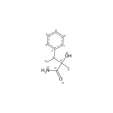 CC(c1ccccc1)C(C)(O)C(N)=O